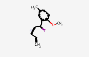 C=C/C=C\C(I)c1cc(C)ccc1OC